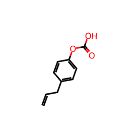 C=CCc1ccc(OC(=O)O)cc1